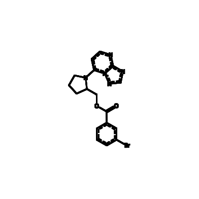 O=C(OCC1CCCN1c1ccnc2ncnn12)c1cccc(Br)c1